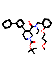 CCN(Cc1ccccc1OCCCOC)C(=O)C1=C(c2cccc(-c3ccccc3)c2)CCN(C(=O)OC(C)(C)C)C1